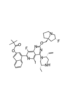 C=C[C@@H]1CN[C@H](CC)CN1c1nc(OC[C@@]23CCCN2C[C@H](F)C3)nc2c(F)c(-c3cc(OC(=O)C(C)(C)C)cc4ccccc34)nc(I)c12